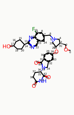 COC[C@@H]1CN(Cc2cc(F)c3nc(C4CCC(O)CC4)ncc3c2)C[C@H]1Oc1ccc2c(c1)CN([C@H]1CCC(=O)NC1=O)C2=O